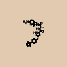 Cc1nc(N)ccc1CNC(=O)[C@H](C)NC(=O)[C@H]1C[C@H](Cc2ccc(-c3nccs3)cc2)CN1